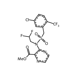 COC(=O)c1nccnc1N(CC(F)F)S(=O)(=O)Cc1cc(Cl)ccc1C(F)(F)F